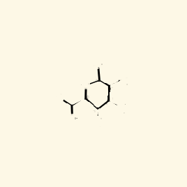 CC(=O)C(O)[C@H]1OC(O)[C@@H](O)[C@@H](O)[C@@H]1O